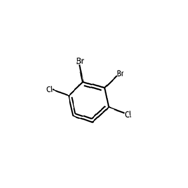 ClC1=C=C=C(Cl)C(Br)=C1Br